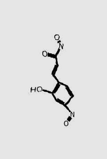 O=NC(=O)/C=C/c1ccc(N=O)cc1O